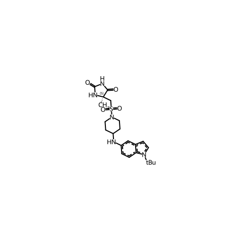 CC(C)(C)n1ccc2cc(NC3CCN(S(=O)(=O)C[C@@]4(C)NC(=O)NC4=O)CC3)ccc21